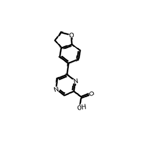 O=C(O)c1cncc(-c2ccc3c(c2)CCO3)n1